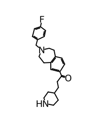 O=C(CCC1CCNCC1)c1ccc2c(c1)CCN(Cc1ccc(F)cc1)CC2